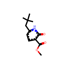 COC(=O)c1ccc(CC(C)(C)C)[nH]c1=O